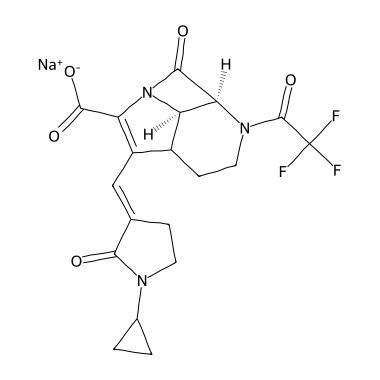 O=C([O-])C1=C(/C=C2\CCN(C3CC3)C2=O)C2CCN(C(=O)C(F)(F)F)[C@@H]3C(=O)N1[C@H]23.[Na+]